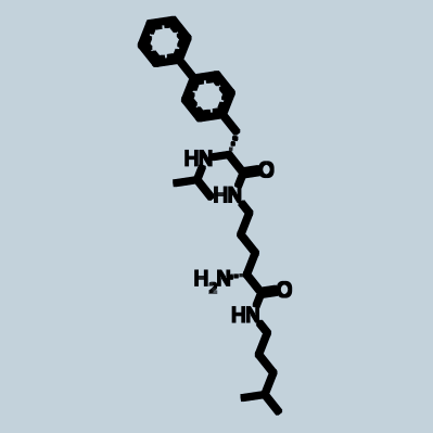 CC(C)CCCNC(=O)[C@H](N)CCCNC(=O)[C@@H](Cc1ccc(-c2ccccc2)cc1)NC(C)C